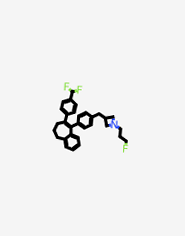 FCCCN1CC(Cc2ccc(C3=C(c4ccc(C(F)F)cc4)CCCc4ccccc43)cc2)C1